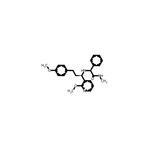 CNC(=O)C(N[C@H](CCc1ccc(OC)cc1)c1cccnc1OC)c1ccccc1